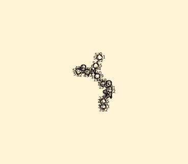 c1ccc(-c2ccc(N(c3ccc(-c4ccc5c(c4)oc4ccc6nc(-c7ccc8ccccc8c7)sc6c45)cc3)c3ccc4c(c3)oc3ccccc34)cc2)cc1